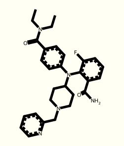 CCN(CC)C(=O)c1ccc(N(c2c(F)cccc2C(N)=O)C2CCN(Cc3ccccn3)CC2)cc1